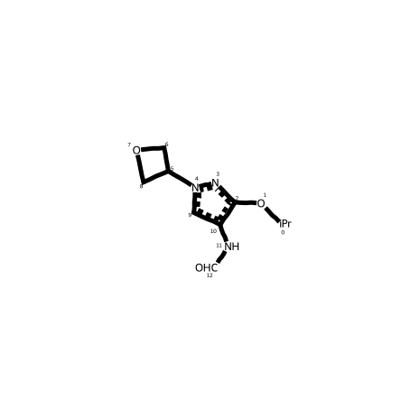 CC(C)Oc1nn(C2COC2)cc1NC=O